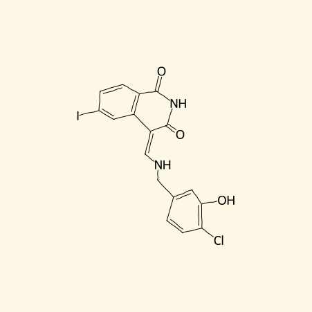 O=C1NC(=O)c2ccc(I)cc2C1=CNCc1ccc(Cl)c(O)c1